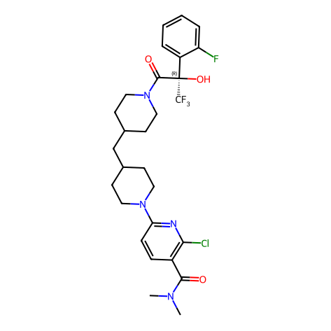 CN(C)C(=O)c1ccc(N2CCC(CC3CCN(C(=O)[C@](O)(c4ccccc4F)C(F)(F)F)CC3)CC2)nc1Cl